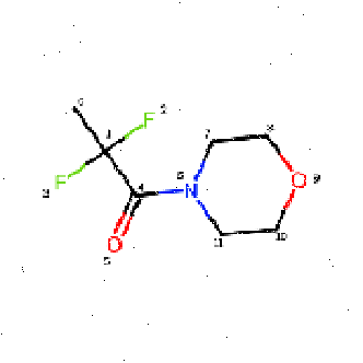 CC(F)(F)C(=O)N1CCOCC1